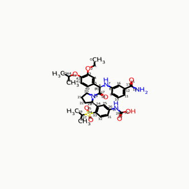 CCOc1cc([C@@H](Nc2cccc(C(N)=O)c2)C(=O)N2CCC[C@@H]2c2cc(NC(=O)O)ccc2S(=O)(=O)C(C)C)ccc1OC(C)C